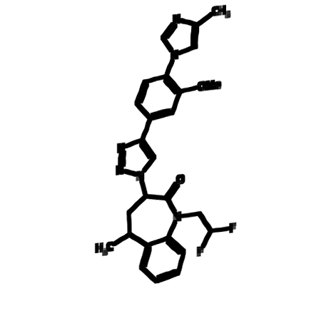 COc1cc(-c2cn(C3CC(C)c4ccccc4N(CC(F)F)C3=O)nn2)ccc1-n1cnc(C)c1